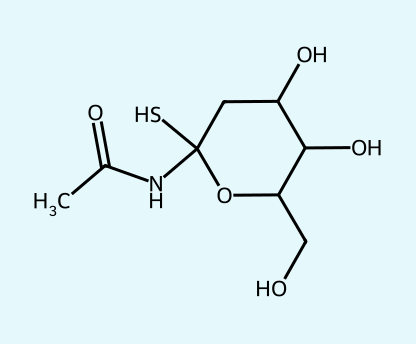 CC(=O)NC1(S)CC(O)C(O)C(CO)O1